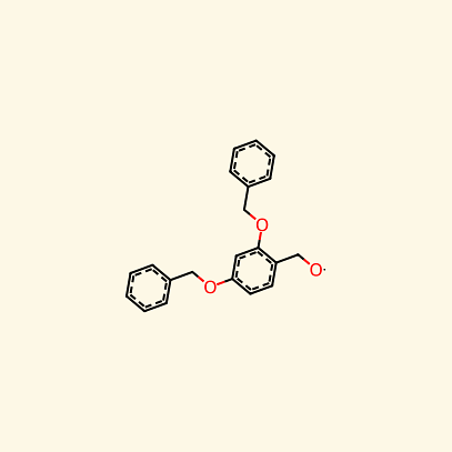 [O]Cc1ccc(OCc2ccccc2)cc1OCc1ccccc1